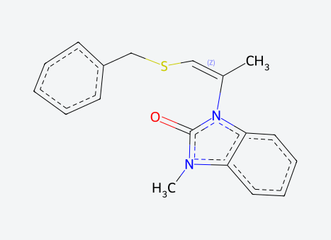 C/C(=C/SCc1ccccc1)n1c(=O)n(C)c2ccccc21